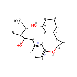 C/C=C(\C=C(/C)CC(O)C(C)CC(=O)O)OC1CC1C1CCC[C@@H](O)C1